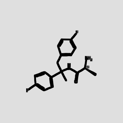 C[C@H](N)C(=O)NC(C)(Cc1ccc(F)cc1)c1ccc(F)cc1